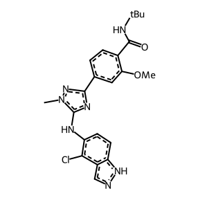 COc1cc(-c2nc(Nc3ccc4[nH]ncc4c3Cl)n(C)n2)ccc1C(=O)NC(C)(C)C